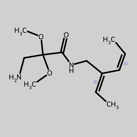 C/C=C\C(=C/C)CNC(=O)C(CN)(OC)OC